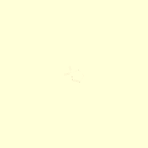 C=S1(=C)C=CCC1